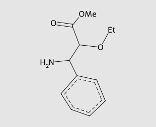 CCOC(C(=O)OC)C(N)c1ccccc1